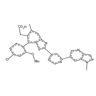 Cc1cc2nc(-c3ccnc(-c4cnc5cnn(C)c5c4)c3)sc2c(-c2ccc(Cl)cc2OC(C)(C)C)c1CC(=O)O